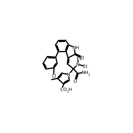 CCN(CC)C(C=C1C(=O)Nc2cccc(-c3cccc(Cl)c3)c21)(C(N)=O)n1cc(C)c(C(=O)O)c1